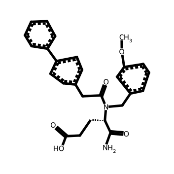 COc1cccc(CN(C(=O)Cc2ccc(-c3ccccc3)cc2)[C@@H](CCC(=O)O)C(N)=O)c1